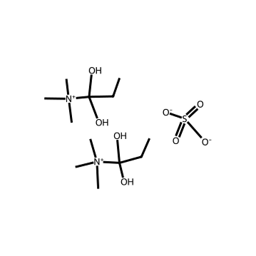 CCC(O)(O)[N+](C)(C)C.CCC(O)(O)[N+](C)(C)C.O=S(=O)([O-])[O-]